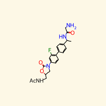 CC(=O)NCC1CN(c2ccc(-c3ccc(C(C)NC(=O)CN)cc3)c(F)c2)C(=O)O1